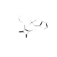 CCOc1c(N[C@@H](c2ccco2)C(F)(F)F)c(=O)c1=O